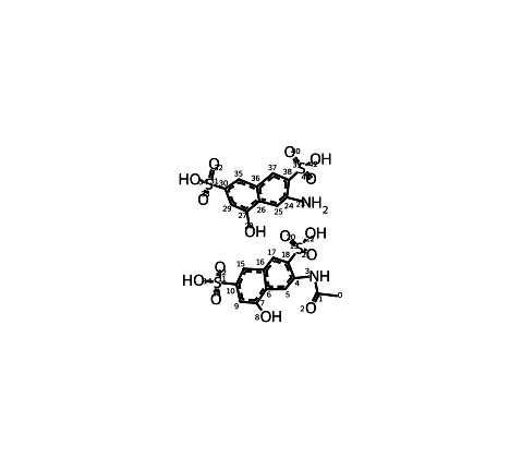 CC(=O)Nc1cc2c(O)cc(S(=O)(=O)O)cc2cc1S(=O)(=O)O.Nc1cc2c(O)cc(S(=O)(=O)O)cc2cc1S(=O)(=O)O